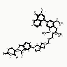 COc1cc(-c2cn(C)c(=O)c3cnccc23)cc(OC)c1CN(C)CCCCN1CC2(CCN(c3ccc4c(c3)C(=O)N(C3CCC(=O)NC3=O)C4)C2)C1